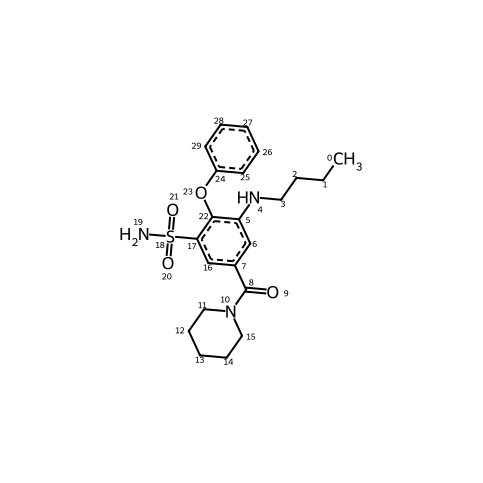 CCCCNc1cc(C(=O)N2CCCCC2)cc(S(N)(=O)=O)c1Oc1ccccc1